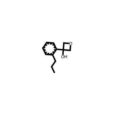 CCCc1ccccc1C1(O)COC1